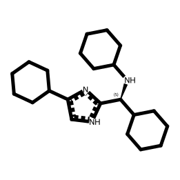 c1[nH]c([C@@H](NC2CCCCC2)C2CCCCC2)nc1C1CCCCC1